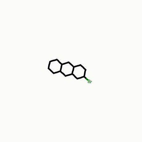 BrC1CCC2CC3CCCCC3CC2C1